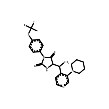 CC(c1ccncc1N1CCCCC1)C1NC(=O)N(c2ccc(SC(F)(F)F)cc2)C1=O